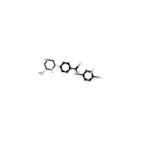 C[C@@H]1CNC[C@H](c2ccc(C(=O)Nc3ccc(Cl)nc3)cc2)O1